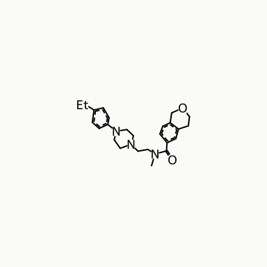 CCc1ccc(N2CCN(CCN(C)C(=O)c3ccc4c(c3)CCOC4)CC2)cc1